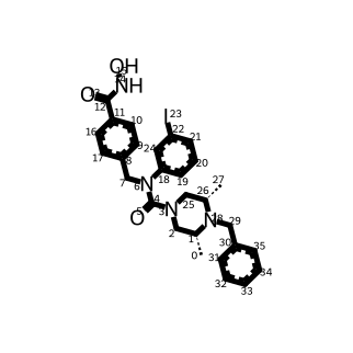 C[C@@H]1CN(C(=O)N(Cc2ccc(C(=O)NO)cc2)c2cccc(I)c2)C[C@H](C)N1Cc1ccccc1